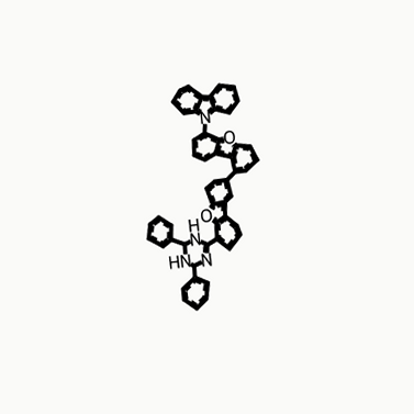 c1ccc(C2N=C(c3cccc4c3oc3ccc(-c5cccc6oc7c(-n8c9ccccc9c9ccccc98)cccc7c56)cc34)NC(c3ccccc3)N2)cc1